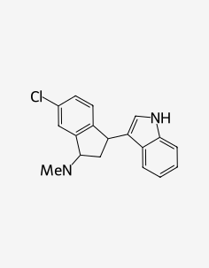 CNC1CC(c2c[nH]c3ccccc23)c2ccc(Cl)cc21